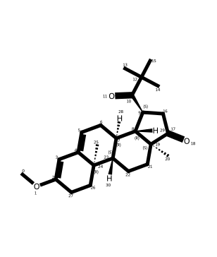 COC1=CC2=CC[C@H]3[C@@H]4[C@@H](C(=O)C(C)(C)C)CC(=O)[C@@]4(C)CC[C@@H]3[C@@]2(C)CC1